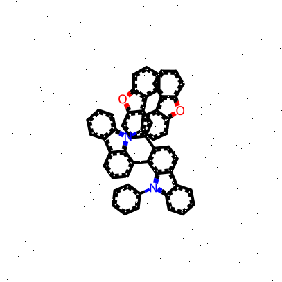 c1ccc(-n2c3ccccc3c3ccc(-c4ccc5oc6ccccc6c5c4)c(-c4cccc5c6ccccc6n(-c6ccc7oc8ccccc8c7c6)c45)c32)cc1